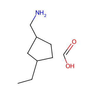 CCC1CCC(CN)C1.O=CO